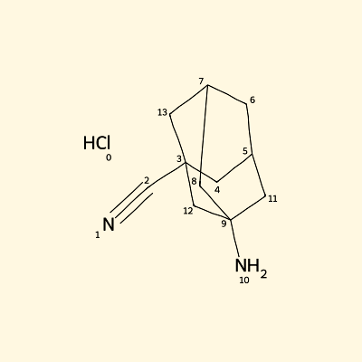 Cl.N#CC12CC3CC(CC(N)(C3)C1)C2